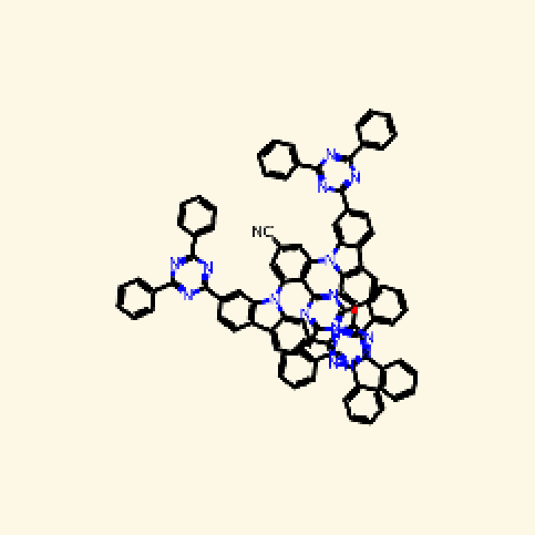 Cc1nc(C)nc(-c2c(-n3c4cc(-c5nc(-c6ccccc6)nc(-c6ccccc6)n5)ccc4c4ccc(-c5nc(-c6ccccc6)nc(-c6ccccc6)n5)cc43)cc(C#N)cc2-n2c3cc(-c4nc(-c5ccccc5)nc(-c5ccccc5)n4)ccc3c3ccc(-c4nc(-c5ccccc5)nc(-c5ccccc5)n4)cc32)n1